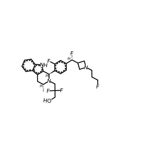 C[C@@H]1Cc2c([nH]c3ccccc23)[C@@H](c2ccc([C@H](F)C3CN(CCCF)C3)cc2F)N1CC(F)(F)CO